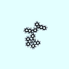 c1ccc(-c2ccccc2-c2nc(-c3ccc(-n4c5ccc(-n6c7ccccc7c7cc8ccccc8cc76)cc5c5cc6ccccc6cc54)cc3)nc(-c3ccccc3-c3ccccc3)n2)cc1